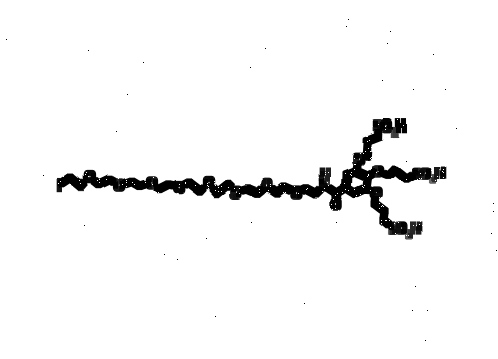 O=C(NCCOCCOCCOCCOCCOCCOCCOCCOCCI)c1cc(OCCCS(=O)(=O)O)c(OCCCS(=O)(=O)O)c(OCCCS(=O)(=O)O)c1